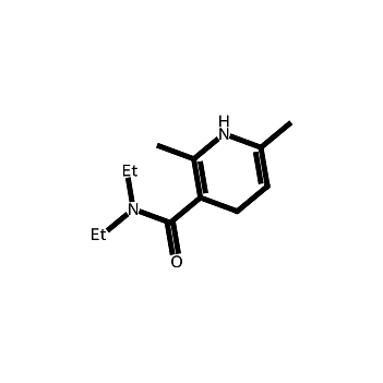 CCN(CC)C(=O)C1=C(C)NC(C)=CC1